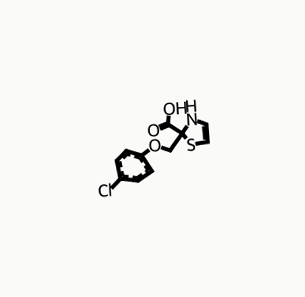 O=C(O)C1(COc2ccc(Cl)cc2)NC=CS1